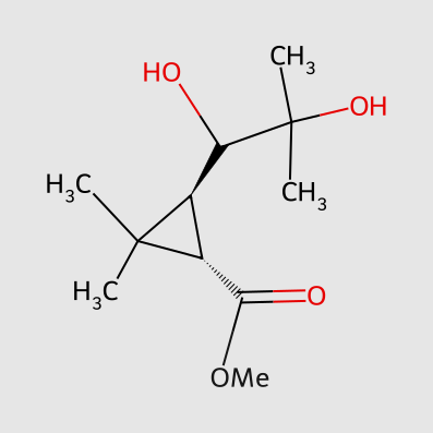 COC(=O)[C@H]1[C@H](C(O)C(C)(C)O)C1(C)C